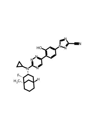 C[C@]12CCC[C@@H](C[C@@H](N(c3ncc(-c4ccc(-n5cnc(C#N)n5)cc4O)nn3)C3CC3)[C@H]1F)C2